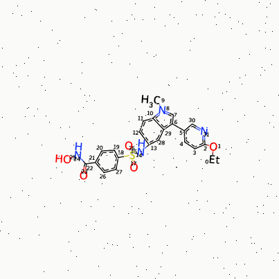 CCOc1ccc(-c2cn(C)c3ccc(NS(=O)(=O)c4ccc(C(=O)NO)cc4)cc23)cn1